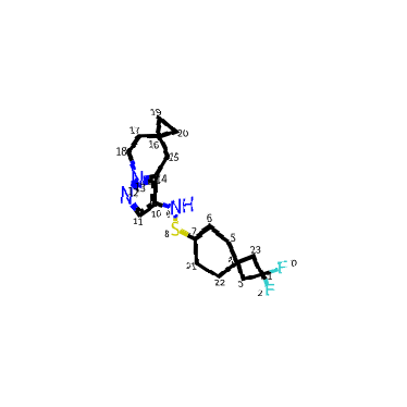 FC1(F)CC2(CCC(SNc3cnn4c3CC3(CC4)CC3)CC2)C1